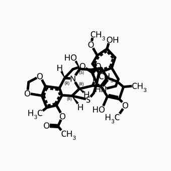 COC1=C(O)C2=C(CC1C)CC1[C@H](O)N3[C@H](C2N1C)[C@@H]1SC[C@@]2(NCCc4cc(O)c(OC)cc42)C(=O)OC[C@H]3c2c3c(c(C)c(OC(C)=O)c21)OCO3